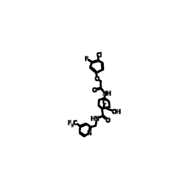 O=C(COc1ccc(Cl)c(F)c1)NC12CCC(C(=O)NCc3cc(C(F)(F)F)ccn3)(CC1)C(O)C2